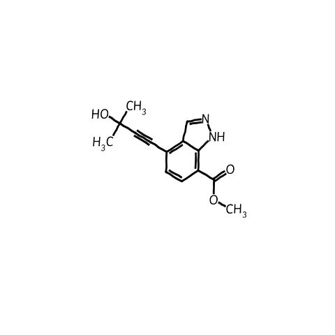 COC(=O)c1ccc(C#CC(C)(C)O)c2cn[nH]c12